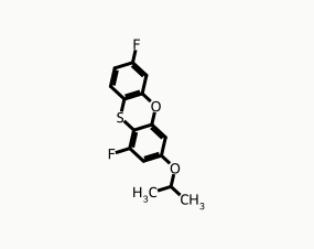 CC(C)Oc1cc(F)c2c(c1)Oc1cc(F)ccc1S2